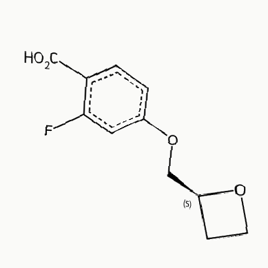 O=C(O)c1ccc(OC[C@@H]2CCO2)cc1F